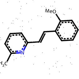 COc1ccccc1/C=C/c1cccc(C)n1